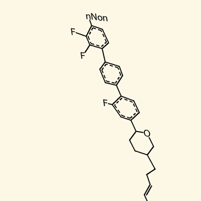 C/C=C/CCC1CCC(c2ccc(-c3ccc(-c4ccc(CCCCCCCCC)c(F)c4F)cc3)c(F)c2)OC1